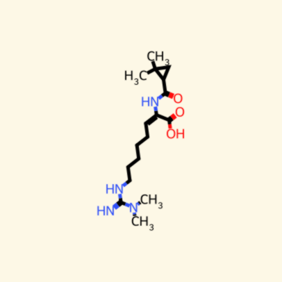 CN(C)C(=N)NCCCCCC=C(NC(=O)C1CC1(C)C)C(=O)O